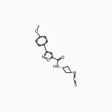 COc1ccc(-c2cc(C(=O)N[C@H]3C[C@@H](N=C=S)C3)on2)cc1